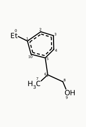 CCc1cccc([C](C)CO)c1